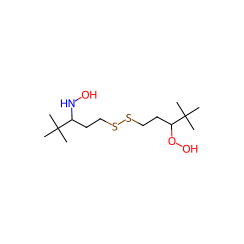 CC(C)(C)C(CCSSCCC(OO)C(C)(C)C)NO